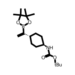 C=C(B1OC(C)(C)C(C)(C)O1)[C@H]1CC[C@H](NC(=O)OC(C)(C)C)CC1